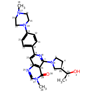 C[C@H](O)[C@@H]1CCN(c2nc(-c3ccc(N4CCN(C)CC4)cc3)cc3ncn(C)c(=O)c23)C1